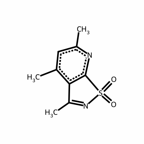 CC1=NS(=O)(=O)c2nc(C)cc(C)c21